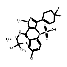 C[C@H](NC(=O)c1c(N(c2ccc(Cl)cc2)S(=O)(=O)O)c(C2=CCC(F)(F)CC2)nn1C)C(C)(C)C